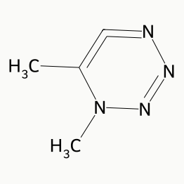 CC1=C=NN=NN1C